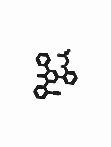 N#Cc1ccccc1-c1cc(-c2ccccc2NC[SH](=O)=O)cn(-c2ccccc2)c1=O